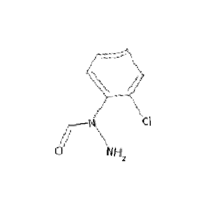 NN(C=O)c1ccccc1Cl